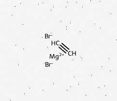 C#C.[Br-].[Br-].[Mg+2]